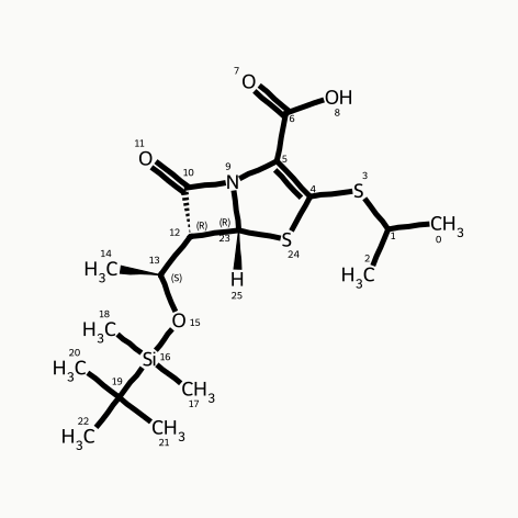 CC(C)SC1=C(C(=O)O)N2C(=O)[C@@H]([C@H](C)O[Si](C)(C)C(C)(C)C)[C@H]2S1